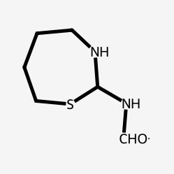 O=[C]NC1NCCCCS1